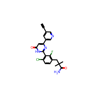 C#Cc1cncc(-c2cc(=O)[nH]c(-c3c(Cl)ccc(CC(C)(C)C(N)=O)c3F)n2)c1